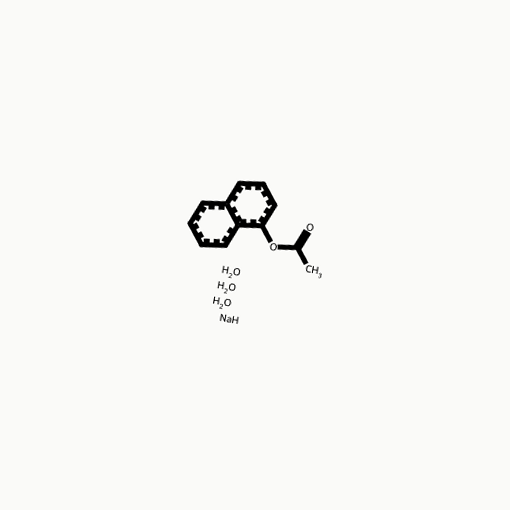 CC(=O)Oc1cccc2ccccc12.O.O.O.[NaH]